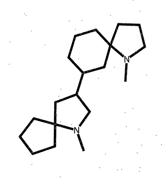 CN1CCCC12CCCC(C1CN(C)C3(CCCC3)C1)C2